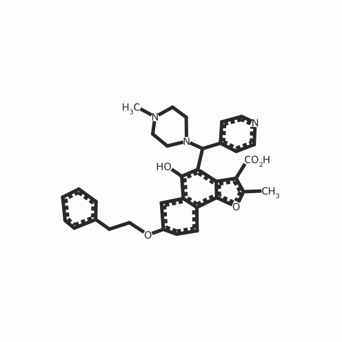 Cc1oc2c(c1C(=O)O)c(C(c1ccncc1)N1CCN(C)CC1)c(O)c1cc(OCCc3ccccc3)ccc12